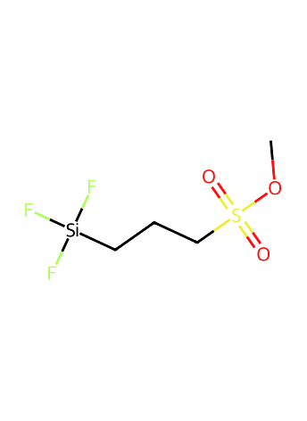 COS(=O)(=O)CCC[Si](F)(F)F